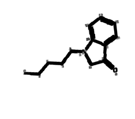 CCCCCN1CC(=O)c2ccccc21